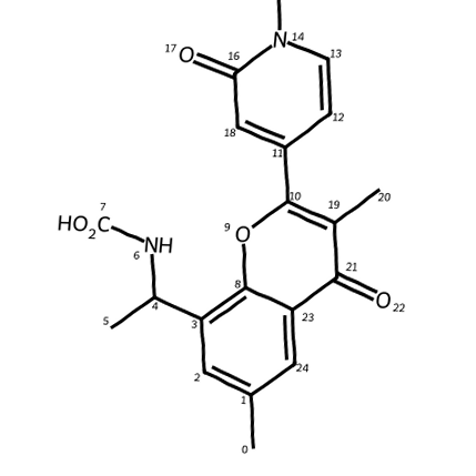 Cc1cc(C(C)NC(=O)O)c2oc(-c3ccn(C)c(=O)c3)c(C)c(=O)c2c1